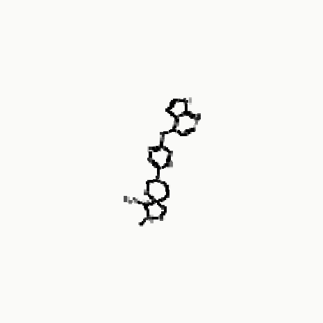 C[C@@H]1OCC2(CCN(c3ncc(Sc4ccnc5[nH]ccc45)nn3)CC2)[C@@H]1N